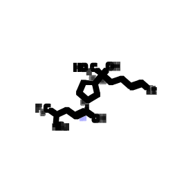 CCC=CCC[C@](O)(C(=O)O)[C@@H]1CC[C@@H](/C(O)=C\CC(CCCC)C(F)(F)F)C1